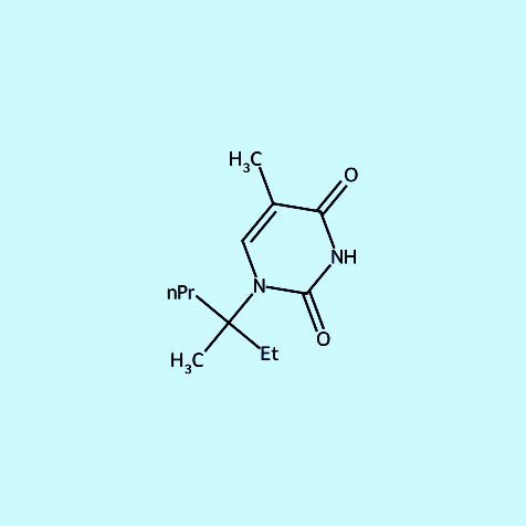 CCCC(C)(CC)n1cc(C)c(=O)[nH]c1=O